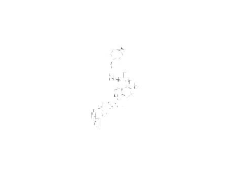 O=C(NCc1ccnc(Cl)c1)N1CC2(CCN(CC=Cc3ccc(Cl)cc3)CC2)c2c1ccc(F)c2C(F)(F)F